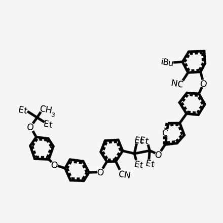 CCC(C)c1cccc(Oc2ccc(-c3ccc(OC(CC)(CC)C(CC)(CC)c4cccc(Oc5ccc(Oc6ccc(OC(C)(CC)CC)cc6)cc5)c4C#N)cc3)cc2)c1C#N